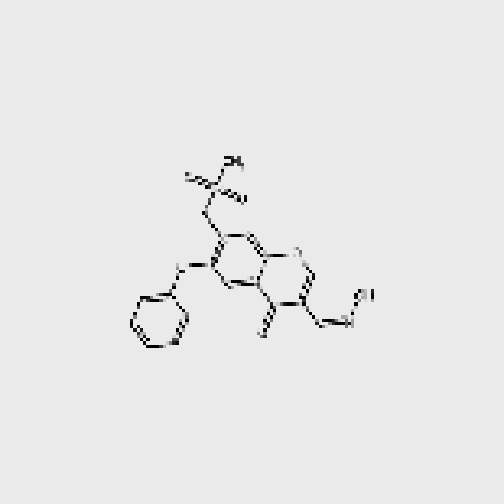 CS(=O)(=O)Nc1cc2occ(/C=N\O)c(=O)c2cc1Oc1ccccc1